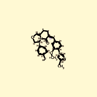 COc1cc(/C=C2/CCC3=COC[C@H](c4ccc(F)cc4)N3C2=O)ccc1-n1cnc(C)c1